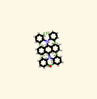 Fc1cccc(F)c1N(c1c(F)cccc1F)c1c2ccccc2c(N(c2c(F)cccc2F)c2c(F)cccc2F)c2ccccc12